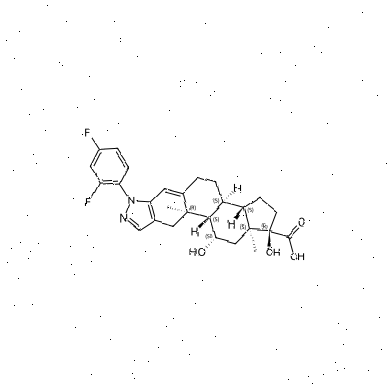 C[C@]12Cc3cnn(-c4ccc(F)cc4F)c3C=C1CC[C@@H]1[C@@H]2[C@@H](O)C[C@@]2(C)[C@H]1CC[C@]2(O)C(=O)O